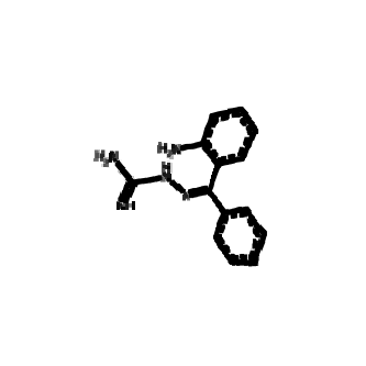 N=C(N)NN=C(c1ccccc1)c1ccccc1N